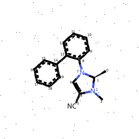 C[C@H]1N(C)C(C#N)=CN1c1ccccc1-c1ccccc1